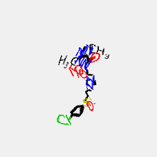 Cn1cnc2c1c(=O)n(CC(O)CN1CCN(CCCC[S+]([O-])c3ccc(Cl)cc3)CC1)c(=O)n2C